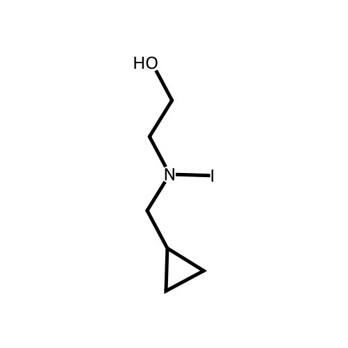 OCCN(I)CC1CC1